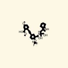 COc1ccc(C#Cc2ccc(OC(F)(F)F)c(C(O)NC(C)(CO)Cc3c[nH]c4ccccc34)c2)c(C(O)OC)c1